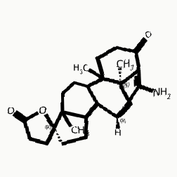 CC12CCC3C(C1CC[C@@]21CCC(=O)O1)[C@H]1C[C@]2(C)C(=C1N)C(=O)CCC32C